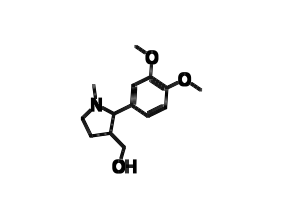 COc1ccc(C2C(CO)CCN2C)cc1OC